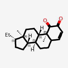 CC[C@H]1CC[C@H]2[C@@H]3CCC4C=CC(=O)C(=O)[C@]4(C)[C@H]3CC[C@]12C